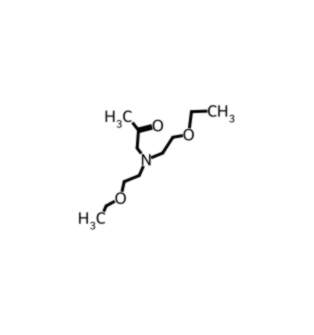 CCOCCN(CCOCC)CC(C)=O